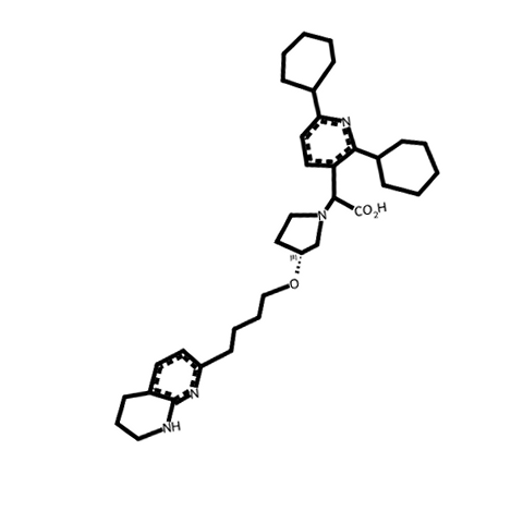 O=C(O)C(c1ccc(C2CCCCC2)nc1C1CCCCC1)N1CC[C@@H](OCCCCc2ccc3c(n2)NCCC3)C1